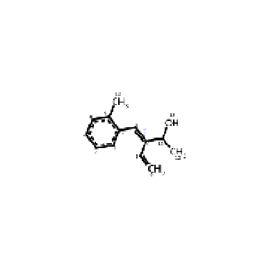 C=C/C(=C\c1ccccc1C)C(C)O